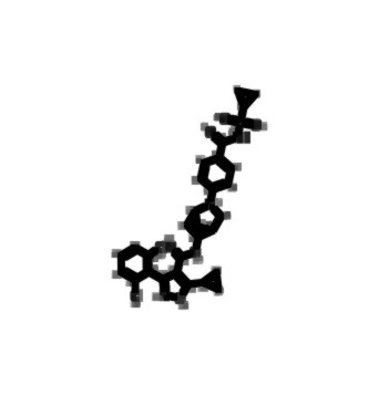 O=C(NS(=O)(=O)C1CC1)c1ccc(N2CC3CC2CC3OC(=O)c2c(-c3c(Cl)cccc3Cl)noc2C2CC2)cc1